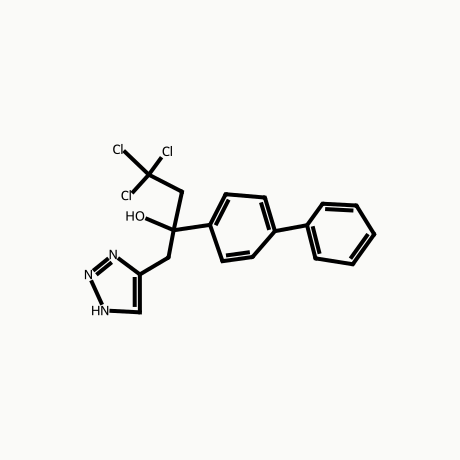 OC(Cc1c[nH]nn1)(CC(Cl)(Cl)Cl)c1ccc(-c2ccccc2)cc1